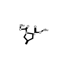 C=C1C[C@@H](C(=O)OC(C)(C)C)N(C(=O)OC(C)(C)C)C1